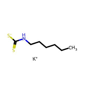 CCCCCCNC(=S)[S-].[K+]